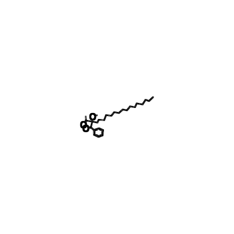 CCCCCCCCCCCCCCCCC(OC)(C(C)=O)C(=O)c1ccccc1